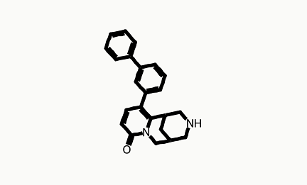 O=c1ccc(-c2cccc(-c3ccccc3)c2)c2n1CC1CNCC2C1